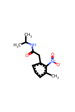 Cc1cccc(CC(=O)NC(C)C)c1[N+](=O)[O-]